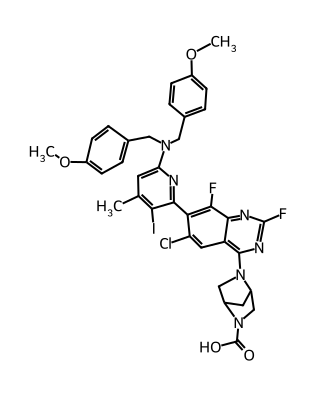 COc1ccc(CN(Cc2ccc(OC)cc2)c2cc(C)c(I)c(-c3c(Cl)cc4c(N5CC6CC5CN6C(=O)O)nc(F)nc4c3F)n2)cc1